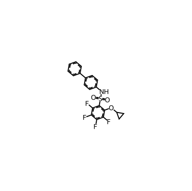 O=S(=O)(Nc1ccc(-c2ccccc2)cc1)c1c(F)c(F)c(F)c(F)c1OC1CC1